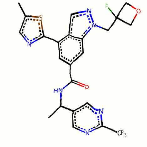 Cc1cnc(-c2cc(C(=O)NC(C)c3cnc(C(F)(F)F)nc3)cc3c2cnn3CC2(F)COC2)s1